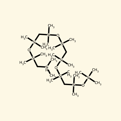 C[SiH](C)C[Si](C)(C)O[Si](C)(C)C[Si](C)(C)O[Si](C)(C)C[Si](C)(C)O[Si](C)(C)C[Si](C)(C)O[Si](C)(C)C